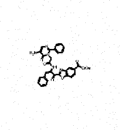 COC(=O)c1ccc2oc(C(=O)C(=Cc3ccccc3)NC(=O)Cn3c(-c4ccccc4)ncc(N)c3=O)nc2c1